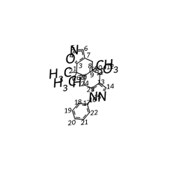 CC1(C)c2oncc2C[C@]2(C)C(=O)c3cnn(-c4ccccc4)c3C[C@@H]12